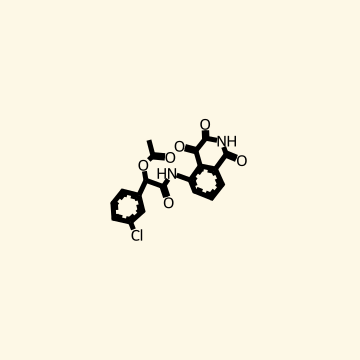 CC(=O)OC(C(=O)Nc1cccc2c1C(=O)C(=O)NC2=O)c1cccc(Cl)c1